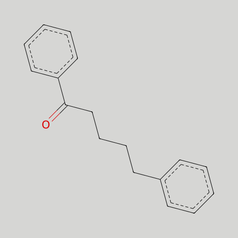 O=C(CCCCc1ccccc1)c1ccccc1